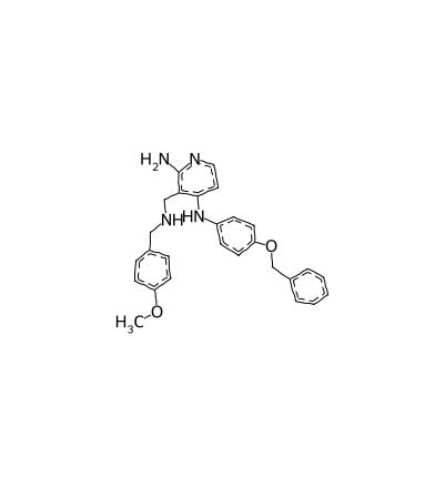 COc1ccc(CNCc2c(Nc3ccc(OCc4ccccc4)cc3)ccnc2N)cc1